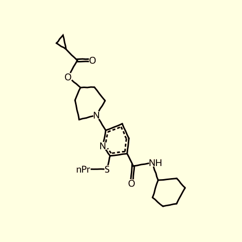 CCCSc1nc(N2CCC(OC(=O)C3CC3)CC2)ccc1C(=O)NC1CCCCC1